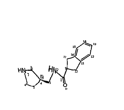 O=C(NC[C@H]1CCNC1)C1Cc2ccccc2C1